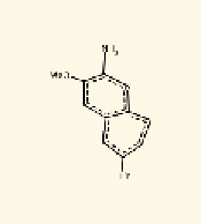 COc1cc2cc(C(C)C)ccc2nc1N